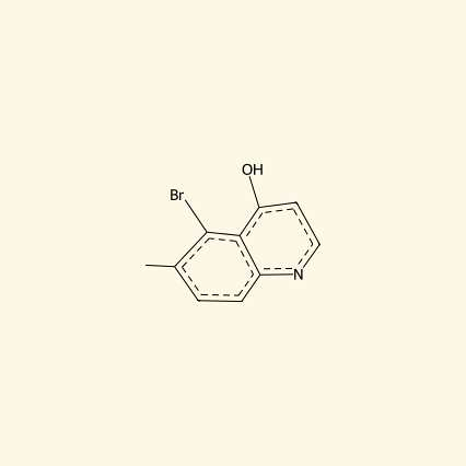 Cc1ccc2nccc(O)c2c1Br